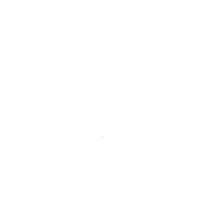 O=C(Cc1ccccc1Nc1c(Cl)cccc1Cl)OCc1ccccc1